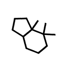 CC1(C)CCCC2CCCC21C